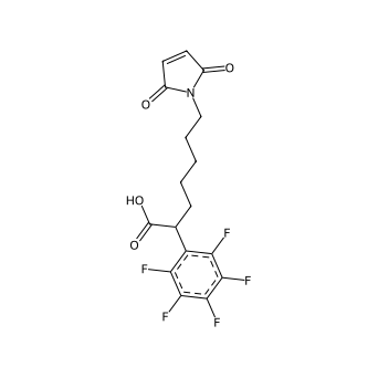 O=C(O)C(CCCCCN1C(=O)C=CC1=O)c1c(F)c(F)c(F)c(F)c1F